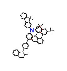 CC1C=Cc2ccccc2C1c1ccc(-c2ccc(N(c3ccc4c(c3)C(C)(C)c3ccccc3-4)c3ccccc3-c3cccc4cccc(-c5cc(C(C)(C)C)cc(C(C)(C)C)c5)c34)cc2)cc1